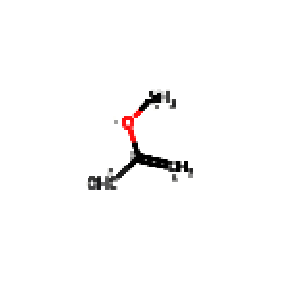 C=C(C=O)O[SiH3]